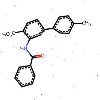 Cc1ccc(-c2ccc(C(=O)O)c(NC(=O)c3ccccc3)c2)cc1